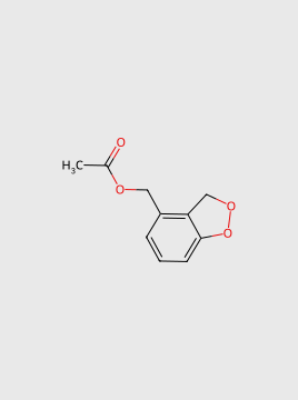 CC(=O)OCc1cccc2c1COO2